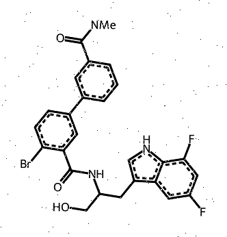 CNC(=O)c1cccc(-c2ccc(Br)c(C(=O)NC(CO)Cc3c[nH]c4c(F)cc(F)cc34)c2)c1